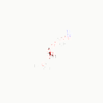 C=C1C[C@H](CC[C@@]23C[C@H]4OC5C(O2)C2O[C@@H](CC(=O)C[C@@H]6C[C@@H](C[C@H](O)CN)OC6CC)CC[C@@H]2O[C@H]5[C@H]4O3)O[C@H]1CC